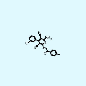 Cc1ccc(C(=O)CSc2nc(N)c(C#N)c(-c3cccc(Cl)c3)c2C#N)cc1